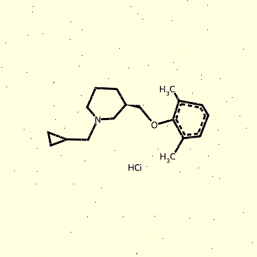 Cc1cccc(C)c1OC[C@@H]1CCCN(CC2CC2)C1.Cl